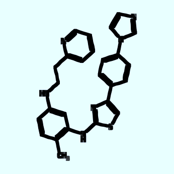 Cc1ccc(NCCc2ccccn2)cc1Nc1nc(-c2ccc(-n3ccnc3)cc2)cs1